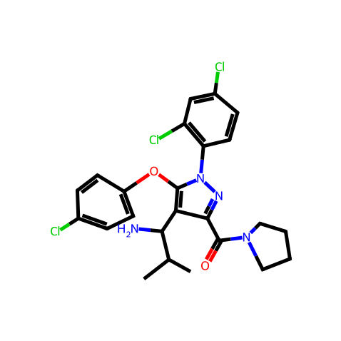 CC(C)C(N)c1c(C(=O)N2CCCC2)nn(-c2ccc(Cl)cc2Cl)c1Oc1ccc(Cl)cc1